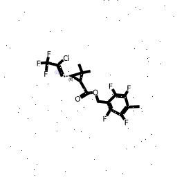 Cc1c(F)c(F)c(COC(=O)C2[C@H](/C=C(\Cl)C(F)(F)F)C2(C)C)c(F)c1F